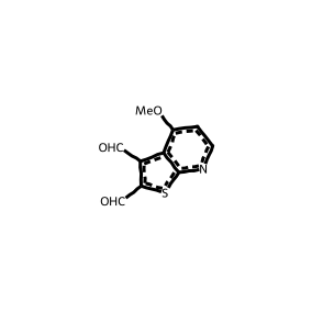 COc1ccnc2sc(C=O)c(C=O)c12